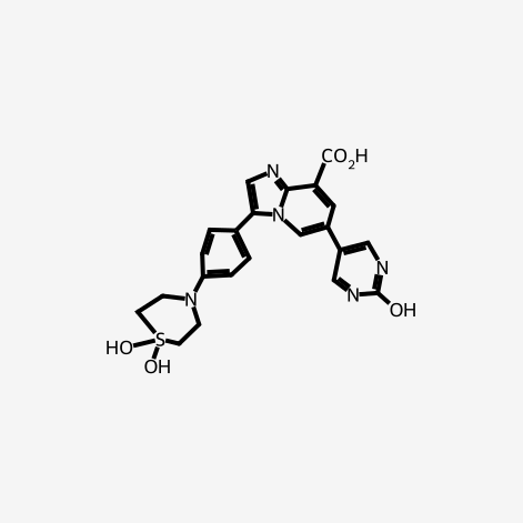 O=C(O)c1cc(-c2cnc(O)nc2)cn2c(-c3ccc(N4CCS(O)(O)CC4)cc3)cnc12